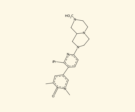 Cc1cc(-c2ccc(N3CCN4CCN(C(=O)O)CC4C3)nc2C(C)C)cn(C)c1=O